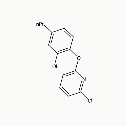 CCCc1ccc(Oc2cccc(Cl)n2)c(O)c1